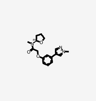 CN(C(=O)COc1c[c]cc(-c2cnn(C)c2)c1)[C@H]1CCCO1